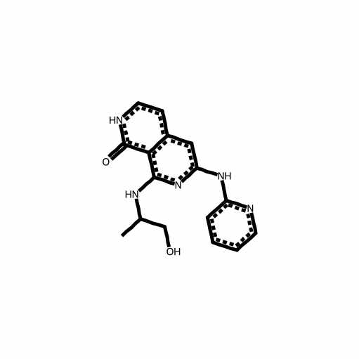 CC(CO)Nc1nc(Nc2ccccn2)cc2cc[nH]c(=O)c12